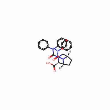 CN(C(=O)N1[C@H]2CC[C@@H]1[C@@H](C(=O)O)N(C(=O)N(c1ccccc1)c1ccccc1)C2)c1ccccc1